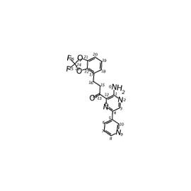 Nc1ncc(-c2cccnc2)nc1C(=O)CCc1cccc2c1OC(F)(F)O2